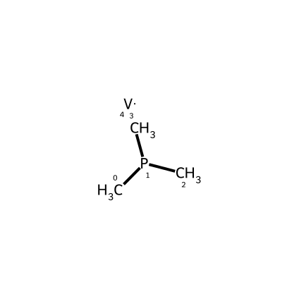 CP(C)C.[V]